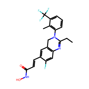 CCC1=Nc2cc(F)c(/C=C/C(=O)NO)cc2CN1c1cccc(C(F)(F)F)c1C